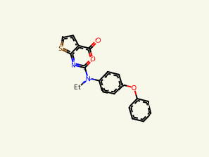 CCN(c1ccc(Oc2ccccc2)cc1)c1nc2sccc2c(=O)o1